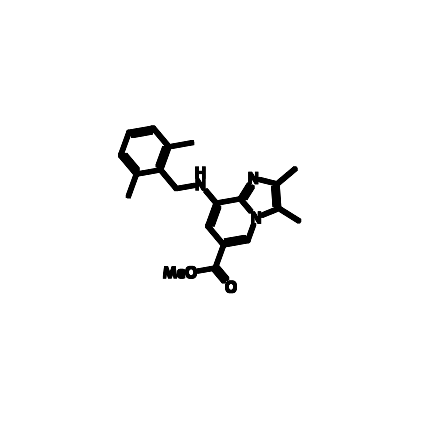 COC(=O)c1cc(NCc2c(C)cccc2C)c2nc(C)c(C)n2c1